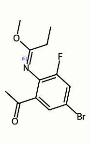 CC/C(=N\c1c(F)cc(Br)cc1C(C)=O)OC